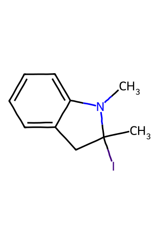 CN1c2ccccc2CC1(C)I